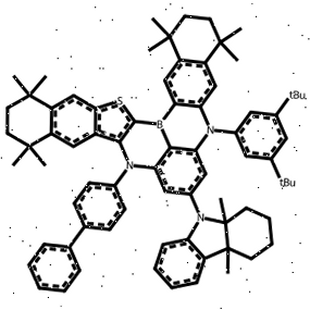 CC(C)(C)c1cc(N2c3cc4c(cc3B3c5sc6cc7c(cc6c5N(c5ccc(-c6ccccc6)cc5)c5cc(N6c8ccccc8C8(C)CCCCC68C)cc2c53)C(C)(C)CCC7(C)C)C(C)(C)CCC4(C)C)cc(C(C)(C)C)c1